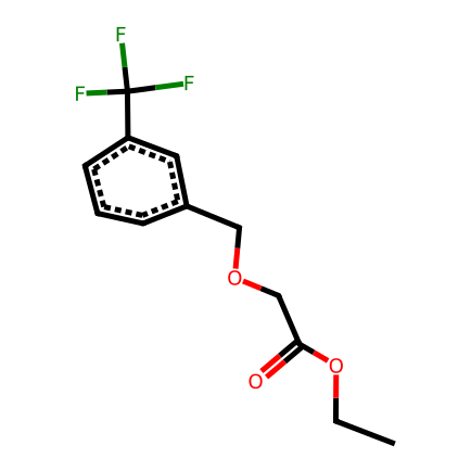 CCOC(=O)COCc1cccc(C(F)(F)F)c1